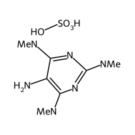 CNc1nc(NC)c(N)c(NC)n1.O=S(=O)(O)O